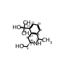 CC1N[C@@H](CO)Cc2c1cccc2C(C)(C)O